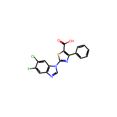 O=C(O)c1sc(-n2cnc3cc(F)c(Cl)cc32)nc1-c1ccccc1